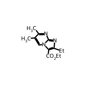 CCOC(=O)c1c(CC)nc2nc(C)c(C)cn12